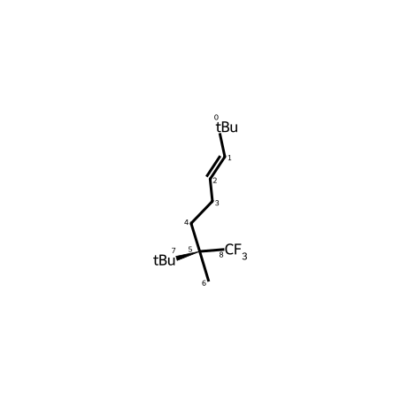 CC(C)(C)/C=C/CC[C@](C)(C(C)(C)C)C(F)(F)F